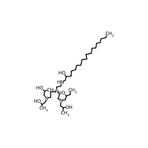 CCCCCCCCCCCCCCCCC(O)CNCCN(CCN(CC(C)O)CC(C)O)CCN(CC(C)O)CC(O)CC